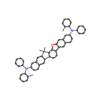 Cc1ccccc1N(c1ccccc1)c1ccc2cc3c(cc2c1)C(C)(C)c1c-3ccc2c1oc1cc3cc(N(c4ccccc4)c4ccccc4C)ccc3cc12